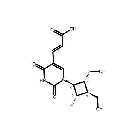 O=C(O)/C=C/c1cn([C@@H]2[C@@H](F)[C@H](CO)[C@H]2CO)c(=O)[nH]c1=O